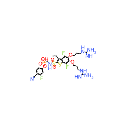 CCc1c(S(=O)(=O)NCP(=O)(O)Oc2ccc(C#N)c(F)c2)sc2c(F)c(OCCCNC(=N)N)c(OCCCNC(=N)N)c(F)c12